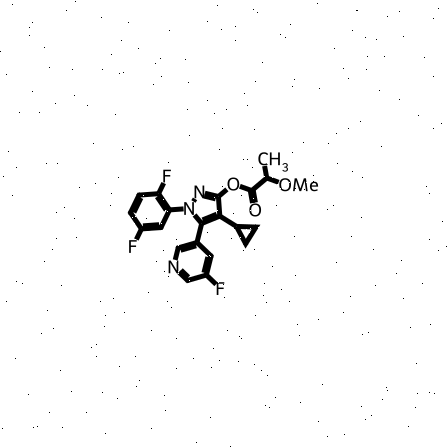 COC(C)C(=O)Oc1nn(-c2cc(F)ccc2F)c(-c2cncc(F)c2)c1C1CC1